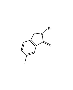 CC(C)N1Cc2ccc(F)cc2C1=O